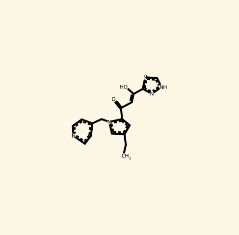 CCc1cc(C(=O)C=C(O)c2nc[nH]n2)n(Cc2ccncc2)c1